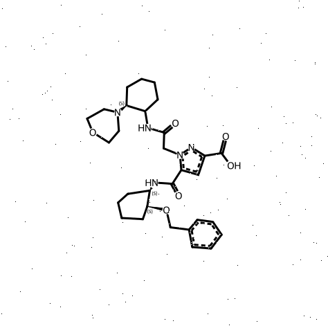 O=C(Cn1nc(C(=O)O)cc1C(=O)N[C@H]1CCCC[C@@H]1OCc1ccccc1)NC1CCCC[C@@H]1N1CCOCC1